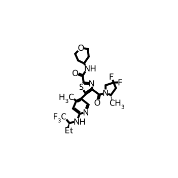 CC[C@H](Nc1cc(C)c(-c2sc(C(=O)NC3CCOCC3)nc2C(=O)N2CC(F)(F)C[C@@H]2C)cn1)C(F)(F)F